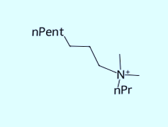 [CH2]CC[N+](C)(C)CCCCCCCC